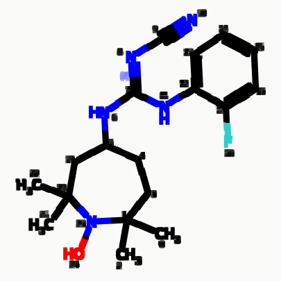 CC1(C)CCC(N/C(=N/C#N)Nc2ccccc2F)CC(C)(C)N1O